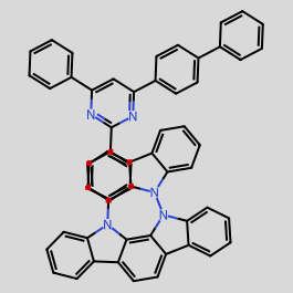 c1ccc(-c2ccc(-c3cc(-c4ccccc4)nc(-c4ccc(-n5c6ccccc6c6ccc7c8ccccc8n(-n8c9ccccc9c9ccccc98)c7c65)cc4)n3)cc2)cc1